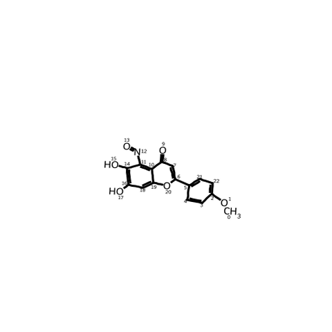 COc1ccc(-c2cc(=O)c3c(N=O)c(O)c(O)cc3o2)cc1